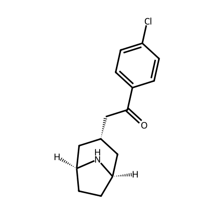 O=C(C[C@@H]1C[C@H]2CC[C@@H](C1)N2)c1ccc(Cl)cc1